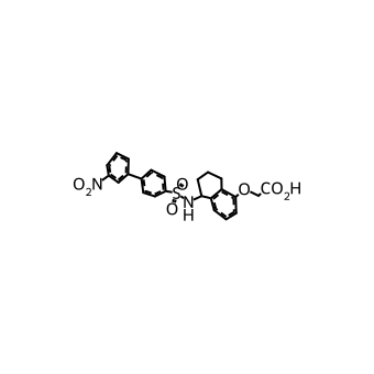 O=C(O)COc1cccc2c1CCCC2NS(=O)(=O)c1ccc(-c2cccc([N+](=O)[O-])c2)cc1